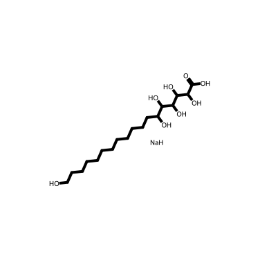 O=C(O)C(O)C(O)C(O)C(O)C(O)CCCCCCCCCCCCO.[NaH]